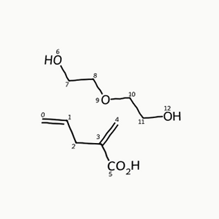 C=CCC(=C)C(=O)O.OCCOCCO